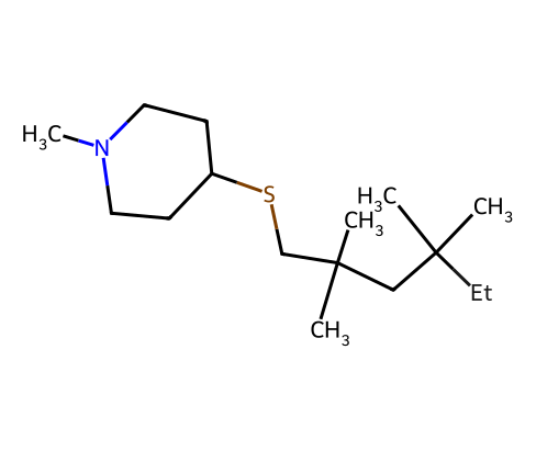 CCC(C)(C)CC(C)(C)CSC1CCN(C)CC1